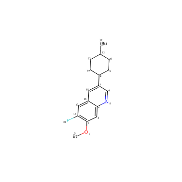 CCOc1cc2ncc(C3CCC(C(C)(C)C)CC3)cc2cc1F